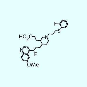 COc1ccc2nccc([C@@H](F)CCC3CCN(CCCSc4ccccc4F)CC3CCC(=O)O)c2c1